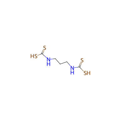 S=C(S)NCCCNC(=S)S